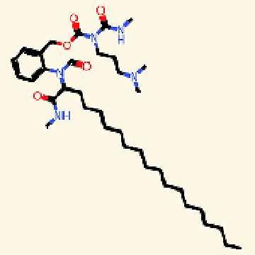 CCCCCCCCCCCCCCCCCC(C(=O)NC)N(C=O)c1ccccc1COC(=O)N(CCCN(C)C)C(=O)NC